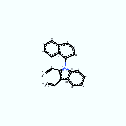 C=Cc1c(C=C)n(-c2cccc3ccccc23)c2ccccc12